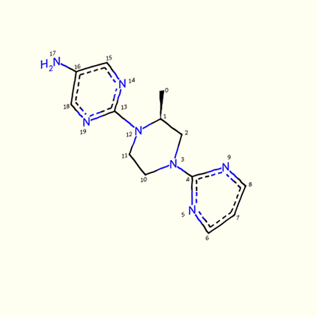 C[C@H]1CN(c2ncccn2)CCN1c1ncc(N)cn1